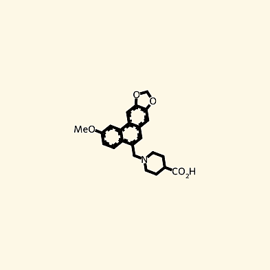 COc1ccc2c(CN3CCC(C(=O)O)CC3)cc3cc4c(cc3c2c1)OCO4